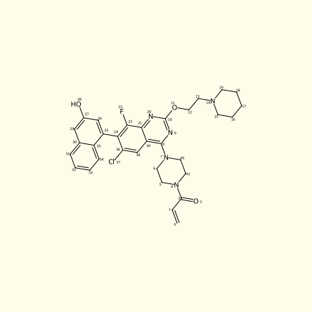 C=CC(=O)N1CCN(c2nc(OCCN3CCCCC3)nc3c(F)c(-c4cc(O)cc5ccccc45)c(Cl)cc23)CC1